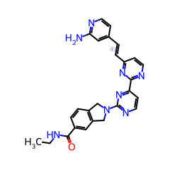 CCNC(=O)c1ccc2c(c1)CN(c1nccc(-c3nccc(/C=C/c4ccnc(N)c4)n3)n1)C2